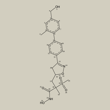 Cc1cc(CO)ccc1-c1ccc(C2=NOC(CC(C)(C(=O)NO)S(C)(=O)=O)C2)cc1